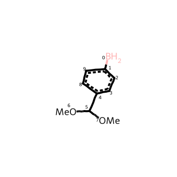 Bc1ccc(C(OC)OC)cc1